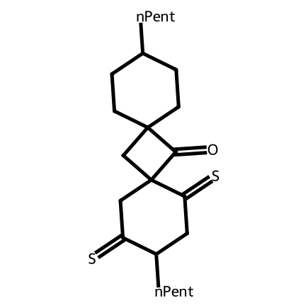 CCCCCC1CCC2(CC1)CC1(CC(=S)C(CCCCC)CC1=S)C2=O